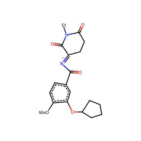 CCN1C(=O)CC/C(=N\C(=O)c2ccc(OC)c(OC3CCCC3)c2)C1=O